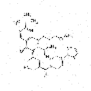 COCCCNc1nc(C(C)(C)C)ncc1C(=O)N(CC(C)C)[C@@H]1CNC[C@H](C(=O)N2CCN(c3nccs3)CC2)C1